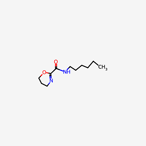 CCCCCCNC(=O)C1=NCCCO1